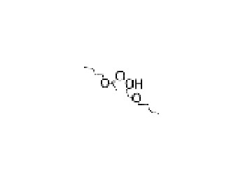 CCCCOCC(O)CC(=O)OCCCC